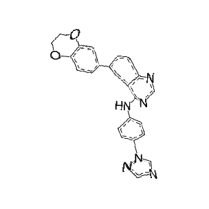 c1nc(Nc2ccc(-n3cncn3)cc2)c2cc(-c3ccc4c(c3)OCCO4)ccc2n1